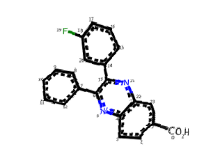 O=C(O)c1ccc2nc(-c3ccccc3)c(-c3cccc(F)c3)nc2c1